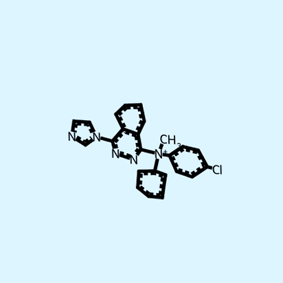 C[N+](c1ccccc1)(c1ccc(Cl)cc1)c1nnc(-n2ccnc2)c2ccccc12